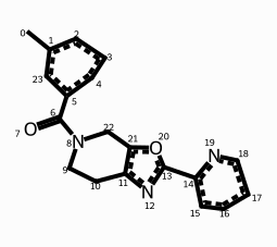 Cc1cccc(C(=O)N2CCc3nc(-c4ccccn4)oc3C2)c1